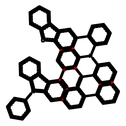 C1=c2cccc(-c3ccccc3)c2=C(c2ccccc2N(c2cccc(-c3cccc4c3c3ccccc3n4-c3ccccc3)c2)c2ccccc2-c2ccc3oc4ccccc4c3c2)CC1